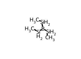 C[SiH2]B([SiH2]C)[SiH2]C